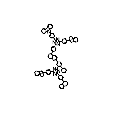 c1ccc(-c2ccc(-c3ccc4c(-c5ccc(-c6nc(-c7ccc(-c8cc9ccccc9o8)cc7)nc(-c7ccc(-n8c9ccccc9c9ccccc98)cc7)n6)cc5)cccc4c3)cc2-c2nc(-c3ccc(-c4cc5ccccc5o4)cc3)nc(-c3ccc(-c4cccc5ccccc45)cc3)n2)cc1